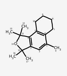 Cc1cc2c(c3c1CCCC3)C(C)(C)OC2(C)C